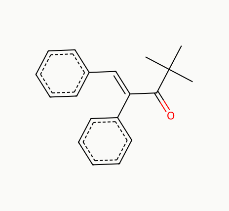 CC(C)(C)C(=O)/C(=C/c1ccccc1)c1ccccc1